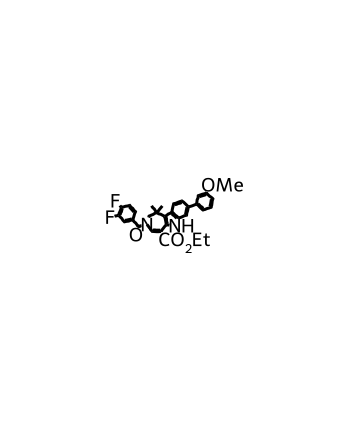 CCOC(=O)C1=CN(C(=O)c2ccc(F)c(F)c2)CC(C)(C)c2c1[nH]c1cc(-c3cccc(OC)c3)ccc21